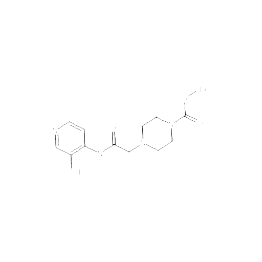 CC(C)(C)OC(=O)N1CCN(CC(=O)Nc2ccncc2O)CC1